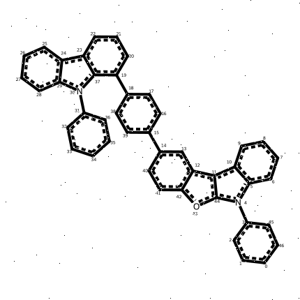 c1ccc(-n2c3ccccc3c3c4cc(-c5ccc(-c6cccc7c8ccccc8n(-c8ccccc8)c67)cc5)ccc4oc32)cc1